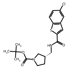 CC(C)(C)OC(=O)N1CC[C@@H](CNC(=O)c2cc3cc(Cl)ccc3s2)C1